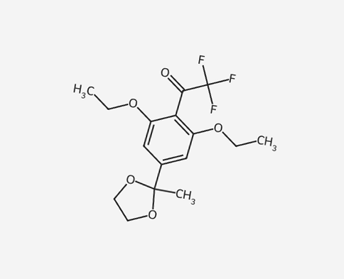 CCOc1cc(C2(C)OCCO2)cc(OCC)c1C(=O)C(F)(F)F